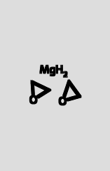 C1CO1.C1CO1.[MgH2]